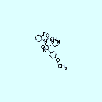 CCOc1ccc(-c2noc(N(C(C)=O)c3ccccc3F)c2-c2ccncn2)cc1